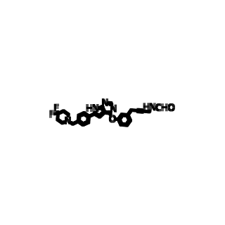 O=CNCC#CCc1cccc(Oc2ncnc3[nH]c(-c4ccc(CN5CCC(F)(F)CC5)cc4)cc23)c1